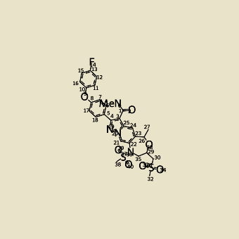 CNC(=O)c1c(-c2ccc(Oc3ccc(F)cc3)cc2)nn2cc3c(cc12)C(C)OC(CS(C)(=O)=O)CN3S(C)(=O)=O